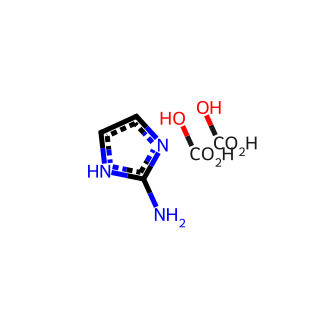 Nc1ncc[nH]1.O=C(O)O.O=C(O)O